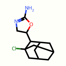 NC1=NCC(C2C3CC4CC(C3)CC2(Cl)C4)O1